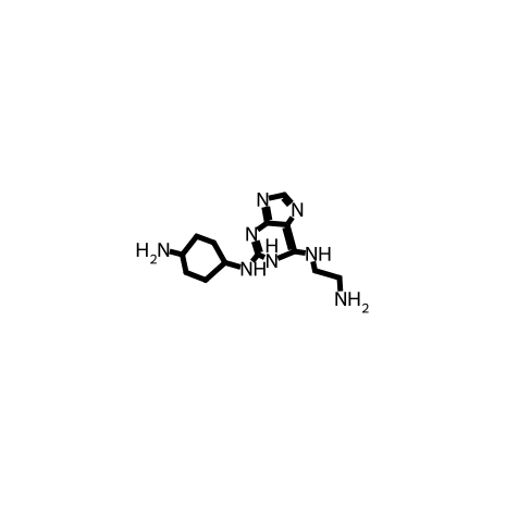 NCCNc1[nH]c(NC2CCC(N)CC2)nc2ncnc1-2